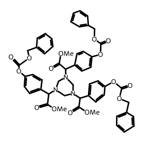 COC(=O)C(c1ccc(OC(=O)OCc2ccccc2)cc1)N1CN(C(C(=O)OC)c2ccc(OC(=O)OCc3ccccc3)cc2)CN(C(C(=O)OC)c2ccc(OC(=O)OCc3ccccc3)cc2)C1